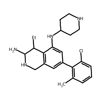 CCC1c2c(cc(-c3c(C)cccc3Cl)cc2NC2CCNCC2)CNC1N